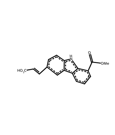 COC(=O)c1cccc2c1[nH]c1ccc(C=CC(=O)O)cc12